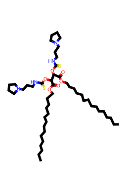 CCCCCCCCCCCCCCCOC(=O)C(OC(=S)NCCCN1CCCC1)C(OC(=S)NCCCN1CCCC1)C(=O)OCCCCCCCCCCCCCCC